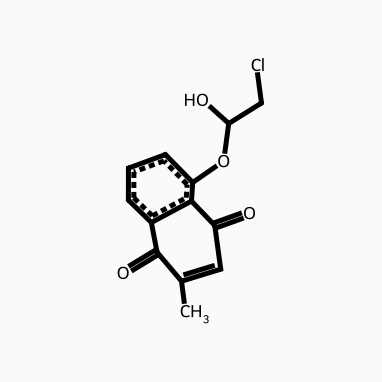 CC1=CC(=O)c2c(OC(O)CCl)cccc2C1=O